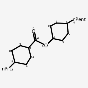 CCCCCC1CCC(OC(=O)C2CCC(CCC)CC2)CC1